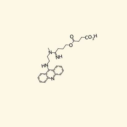 CN(CCNc1c2ccccc2nc2ccccc12)C(=N)CCCOC(=O)CCC(=O)O